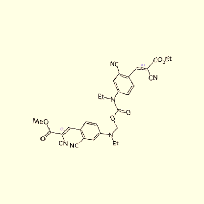 CCOC(=O)/C(C#N)=C/c1ccc(N(CC)C(=O)OCN(CC)c2ccc(/C=C(\C#N)C(=O)OC)c(C#N)c2)cc1C#N